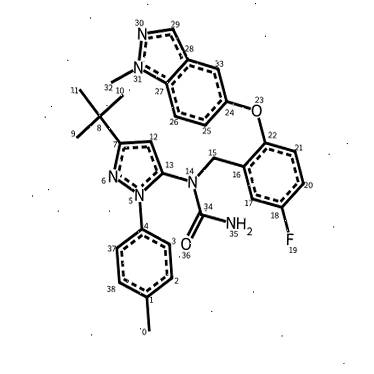 Cc1ccc(-n2nc(C(C)(C)C)cc2N(Cc2cc(F)ccc2Oc2ccc3c(cnn3C)c2)C(N)=O)cc1